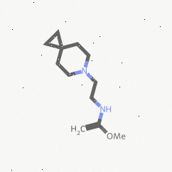 C=C(NCCN1CCC2(CC1)CC2)OC